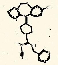 N#C/[N+]([O-])=C(\NCc1cccnc1)N1CCC(=C2c3ccc(Cl)cc3SCc3cccnc32)CC1